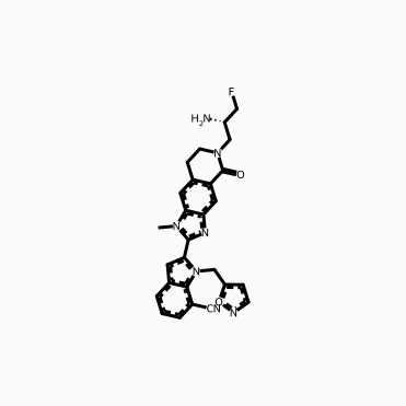 Cn1c(-c2cc3cccc(C#N)c3n2Cc2ccno2)nc2cc3c(cc21)CCN(C[C@H](N)CF)C3=O